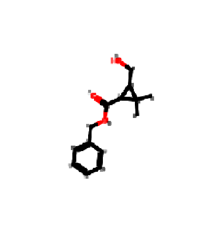 CC1(C)C(CO)C1C(=O)OCc1ccccc1